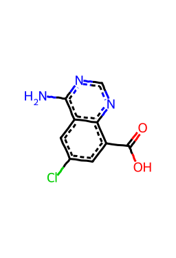 Nc1ncnc2c(C(=O)O)cc(Cl)cc12